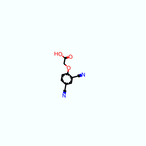 N#Cc1ccc(OCC(=O)O)c(C#N)c1